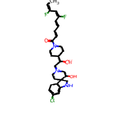 C\C=C(F)/C=C(F)\C=C\C=C\C(=O)N1CCC(C(O)CN2CCC3(CNC4=CC(Cl)=CCC43)C(O)C2)CC1